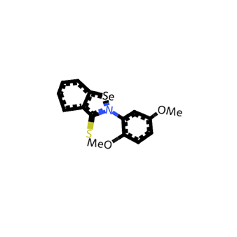 COc1ccc(OC)c(-n2[se]c3ccccc3c2=S)c1